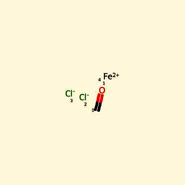 C=O.[Cl-].[Cl-].[Fe+2]